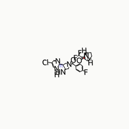 N=C1CN(C(=O)c2ccc(F)cc2O[C@H]2C[C@H]3CC[C@@H](C2)N3CC(F)F)C/C1=C1\N=CC(Cl)=CN1